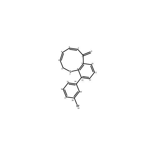 C=C1/C=C\C=C/CSc2c1cccc2-c1cccc(Br)c1